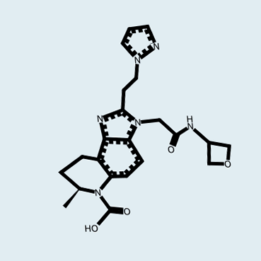 C[C@H]1CCc2c(ccc3c2nc(CCn2cccn2)n3CC(=O)NC2COC2)N1C(=O)O